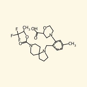 Cc1ccc(CN2CCCC23CCN(C(=O)OC(C)C(F)(F)F)CC3)c(N2CCOC(C(=O)O)C2)c1